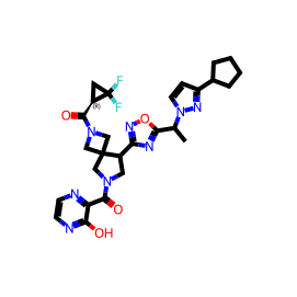 CC(c1nc(C2CN(C(=O)c3nccnc3O)CC23CN(C(=O)[C@H]2CC2(F)F)C3)no1)n1ccc(C2CCCC2)n1